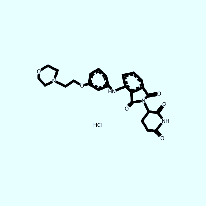 Cl.O=C1CCC(N2C(=O)c3cccc(Nc4cccc(OCCN5CCOCC5)c4)c3C2=O)C(=O)N1